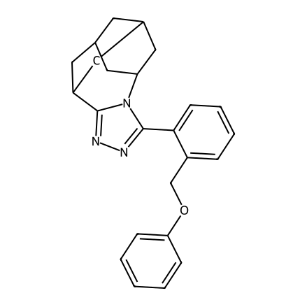 c1ccc(OCc2ccccc2-c2nnc3n2C2CC4CC(CC3C4)C2)cc1